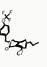 CCCc1cc(Cl)c2c(c1)CN(Cc1ccc(OC(F)(F)F)cc1)C2=O